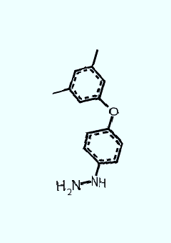 Cc1cc(C)cc(Oc2ccc(NN)cc2)c1